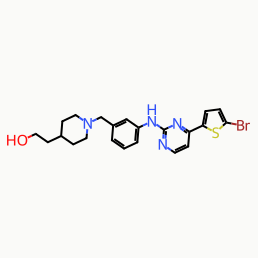 OCCC1CCN(Cc2cccc(Nc3nccc(-c4ccc(Br)s4)n3)c2)CC1